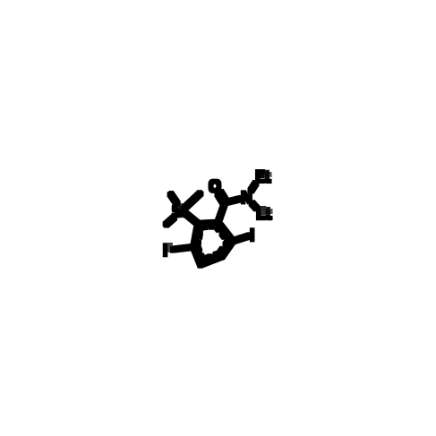 CCN(CC)C(=O)c1c(I)ccc(F)c1[Si](C)(C)C